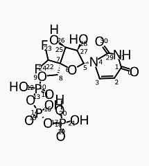 O=c1ccn([C@@H]2O[C@@](COP(=O)(O)OP(=O)(O)OP(=O)(O)O)(C(F)F)[C@@H](O)[C@H]2O)c(=O)[nH]1